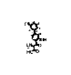 NC(C(=O)O)C(=O)c1ncc(-c2cccc(Cl)c2)cc1O